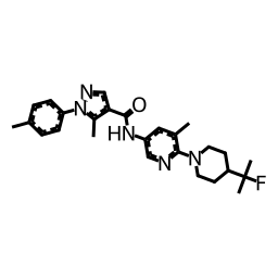 Cc1ccc(-n2ncc(C(=O)Nc3cnc(N4CCC(C(C)(C)F)CC4)c(C)c3)c2C)cc1